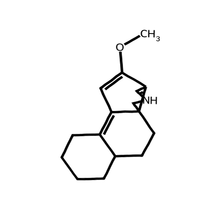 COC1=CC2=C3CCCCC3CCC23CNC=C13